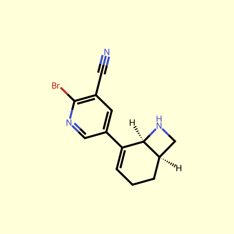 N#Cc1cc(C2=CCC[C@@H]3CN[C@H]23)cnc1Br